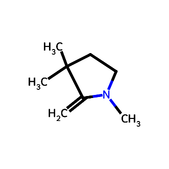 C=C1N(C)CCC1(C)C